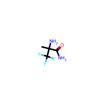 CC(N)(C(N)=O)C(F)(F)F